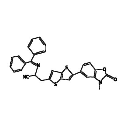 Cn1c(=O)oc2ccc(-c3cc4sc(CC(C#N)N=C(c5ccccc5)c5ccccc5)cc4s3)cc21